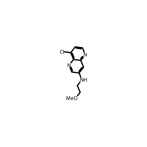 COCCNc1cnc2c(Cl)ccnc2c1